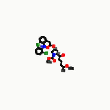 CCC(CCCC(=O)[C@@H]1C[C@@H](OC(=O)Cc2ccccc2Nc2c(Cl)cccc2Cl)CN1C(=O)OC(C)(C)C)OC(C)(C)C